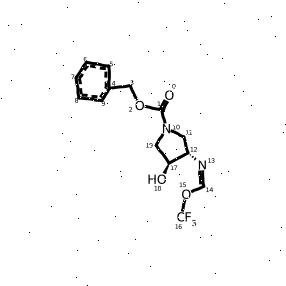 O=C(OCc1ccccc1)N1C[C@H](/N=C\OC(F)(F)F)[C@@H](O)C1